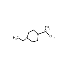 CCN1CCN(N(C)C)CC1